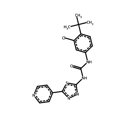 CC(C)(C)c1ccc(NC(=O)Nc2nnc(-c3ccncc3)s2)cc1Cl